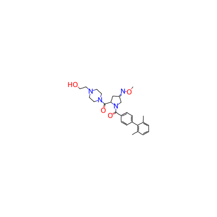 CON=C1CC(C(=O)N2CCN(CCO)CC2)N(C(=O)c2ccc(-c3c(C)cccc3C)cc2)C1